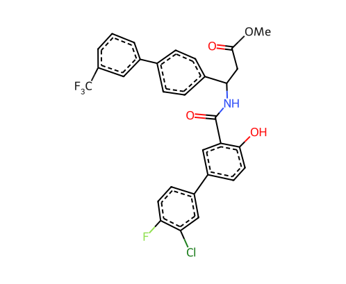 COC(=O)CC(NC(=O)c1cc(-c2ccc(F)c(Cl)c2)ccc1O)c1ccc(-c2cccc(C(F)(F)F)c2)cc1